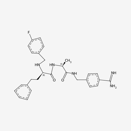 C[C@H](NC(=O)[C@@H](CCc1ccccc1)NCc1ccc(F)cc1)C(=O)NCc1ccc(C(=N)N)cc1